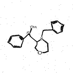 O[C@H](c1ccccc1)C1COCCN1Cc1ccccc1